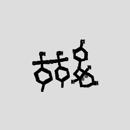 Cc1ccc(S(=O)(=O)O)cc1.Cc1ccc(S(=O)(=O)O)cc1.Clc1ccc(N2C[C@H]3CCNC[C@H]32)cn1